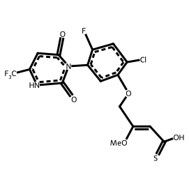 COC(=CC(O)=S)COc1cc(-n2c(=O)cc(C(F)(F)F)[nH]c2=O)c(F)cc1Cl